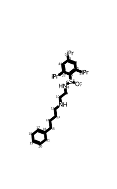 CC(C)c1cc(C(C)C)c([S+]([O-])NCCNCCCCC2=CCC=CC2)c(C(C)C)c1